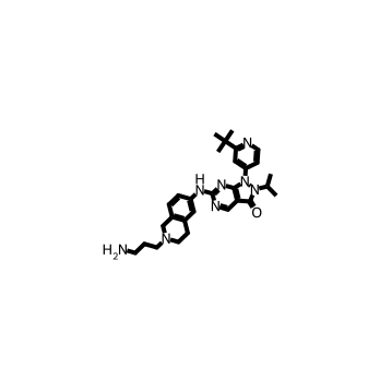 CC(C)n1c(=O)c2cnc(Nc3ccc4c(c3)CCN(CCCN)C4)nc2n1-c1ccnc(C(C)(C)C)c1